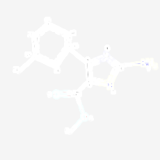 COC(=O)c1nc(N)sc1-c1cccc(C)c1